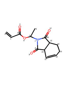 C=CC(=O)OC(C)N1C(=O)C2C=CCCC2C1=O